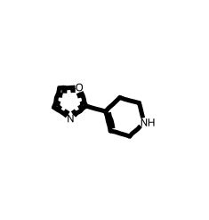 C1=C(c2ncco2)CCNC1